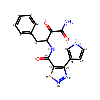 NC(=O)C(=O)C(Cc1ccccc1)NC(=O)c1snnc1-c1cc[nH]c1